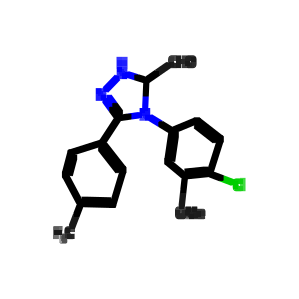 COc1cc(N2C(c3ccc(C(F)(F)F)cc3)=NNC2C=O)ccc1Cl